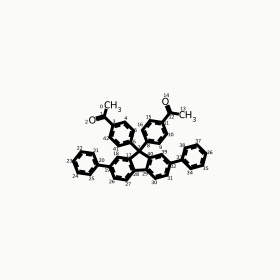 CC(=O)c1ccc(C2(c3ccc(C(C)=O)cc3)c3cc(-c4ccccc4)ccc3-c3ccc(-c4ccccc4)cc32)cc1